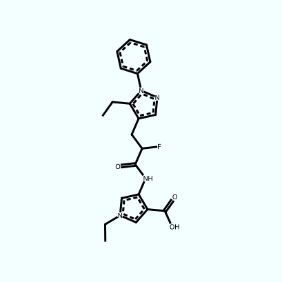 CCc1c(CC(F)C(=O)Nc2cn(CC)cc2C(=O)O)cnn1-c1ccccc1